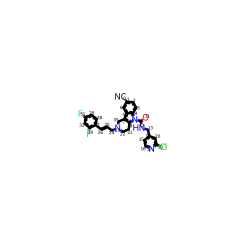 N#Cc1ccc2c(c1)c1c(n2C(=O)NCc2ccnc(Cl)c2)CCN(CC=Cc2ccc(F)cc2F)C1